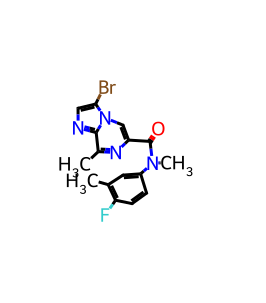 Cc1cc(N(C)C(=O)c2cn3c(Br)cnc3c(C)n2)ccc1F